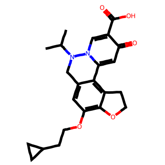 CC(C)N1Cc2cc(OCCC3CC3)c3c(c2-c2cc(=O)c(C(=O)O)cn21)CCO3